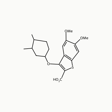 COc1cc2sc(C(=O)O)c(OC3CCC(C)C(C)C3)c2cc1OC